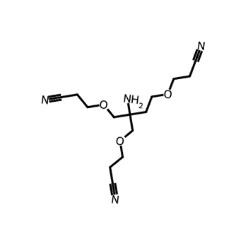 N#CCCOCCC(N)(COCCC#N)COCCC#N